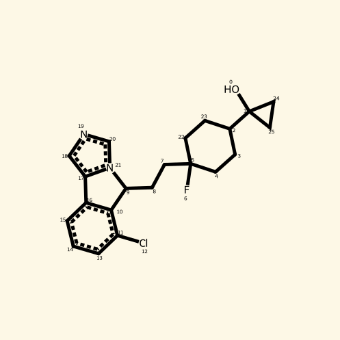 OC1(C2CCC(F)(CCC3c4c(Cl)cccc4-c4cncn43)CC2)CC1